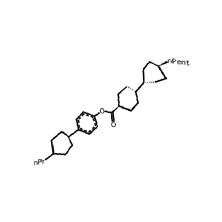 CCCCC[C@H]1CC[C@H]([C@H]2CC[C@H](C(=O)Oc3ccc(C4CCC(CCC)CC4)cc3)CC2)CC1